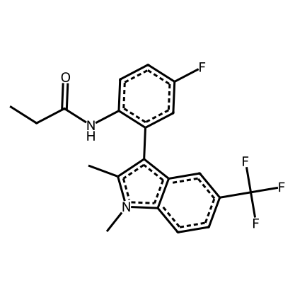 CCC(=O)Nc1ccc(F)cc1-c1c(C)n(C)c2ccc(C(F)(F)F)cc12